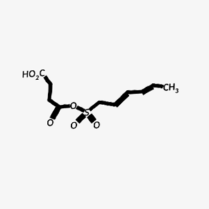 CC=CC=CCS(=O)(=O)OC(=O)CCC(=O)O